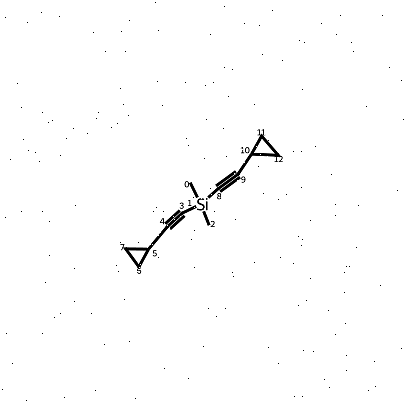 C[Si](C)(C#CC1CC1)C#CC1CC1